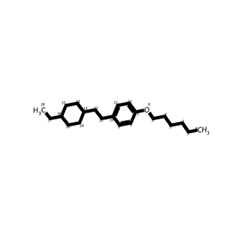 CCCCCCOc1ccc(CCC2CCC(CC)CC2)cc1